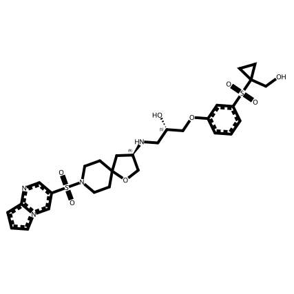 O=S(=O)(c1cnc2cccn2c1)N1CCC2(CC1)C[C@@H](NC[C@H](O)COc1cccc(S(=O)(=O)C3(CO)CC3)c1)CO2